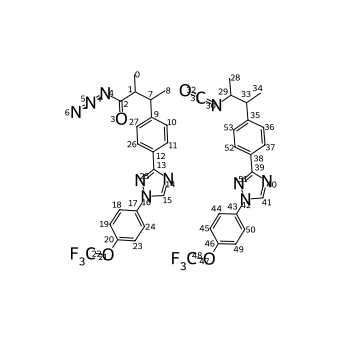 CC(C(=O)N=[N+]=[N-])C(C)c1ccc(-c2ncn(-c3ccc(OC(F)(F)F)cc3)n2)cc1.CC(N=C=O)C(C)c1ccc(-c2ncn(-c3ccc(OC(F)(F)F)cc3)n2)cc1